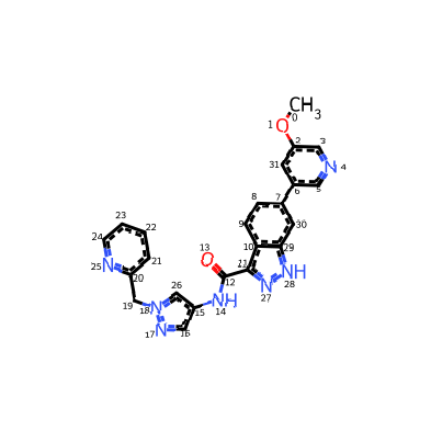 COc1cncc(-c2ccc3c(C(=O)Nc4cnn(Cc5ccccn5)c4)n[nH]c3c2)c1